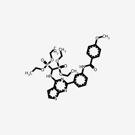 CCOP(=O)(OCC)C(Nc1nc(-c2cccc(NC(=O)c3ccc(OC)cc3)c2)nc2sccc12)P(=O)(OCC)OCC